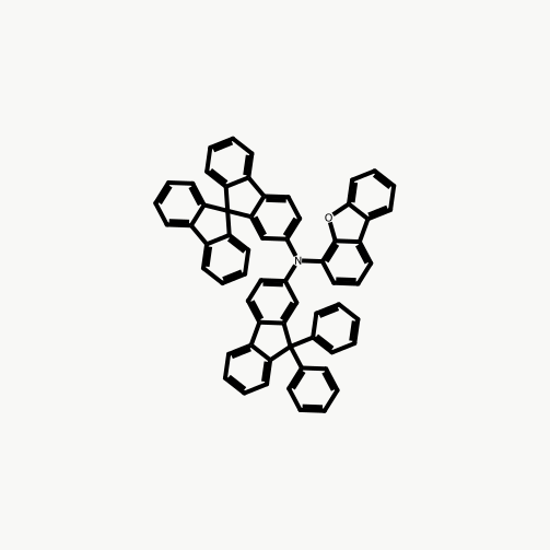 c1ccc(C2(c3ccccc3)c3ccccc3-c3ccc(N(c4ccc5c(c4)C4(c6ccccc6-c6ccccc64)c4ccccc4-5)c4cccc5c4oc4ccccc45)cc32)cc1